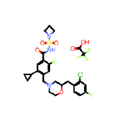 O=C(NS(=O)(=O)N1CCC1)c1cc(C2CC2)c(CN2CCOC(Cc3ccc(F)cc3Cl)C2)cc1F.O=C(O)C(F)(F)F